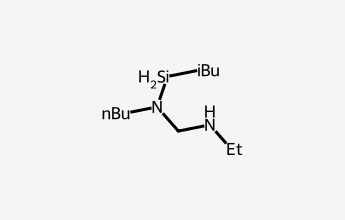 CCCCN(CNCC)[SiH2]C(C)CC